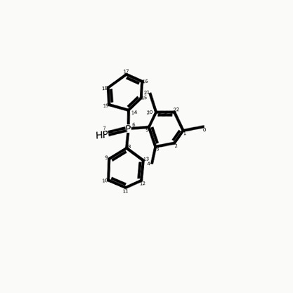 Cc1cc(C)c(P(=P)(c2ccccc2)c2ccccc2)c(C)c1